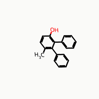 Cc1ccc(O)c(-c2ccccc2)c1-c1ccccc1